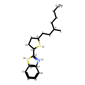 CC(C)CCCC(C)CCC1CCC(c2nc3c(s2)C=C=C=C3)S1